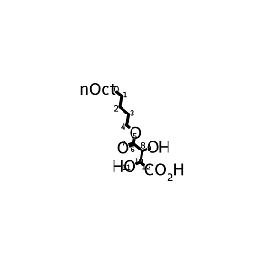 CCCCCCCCCCCCOC(=O)C(O)C(O)C(=O)O